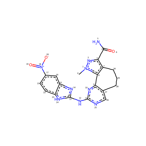 Cn1nc(C(N)=O)c2c1-c1nc(Nc3nc4cc([N+](=O)[O-])ccc4[nH]3)ncc1CCC2